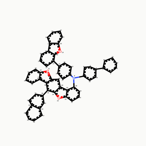 c1ccc(-c2ccc(N(c3ccc(-c4cccc5c4oc4ccccc45)cc3)c3cccc4oc5c(-c6ccc7ccccc7c6)c6c(cc5c34)oc3ccccc36)cc2)cc1